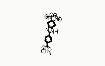 COC(=O)c1ccc(-c2nc3cc([N+](=O)[O-])c([N+](=O)[O-])cc3[nH]2)cc1